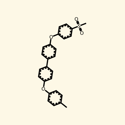 Cc1ccc(Oc2ccc(-c3ccc(Oc4ccc(S(C)(=O)=O)cc4)cc3)cc2)cc1